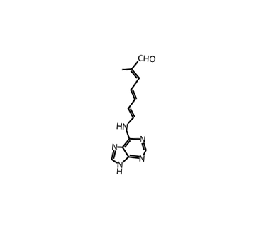 C\C(C=O)=C/C=C/C=C/Nc1ncnc2[nH]cnc12